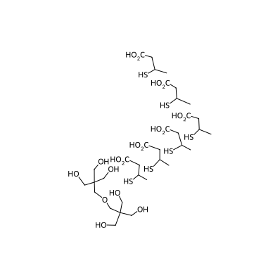 CC(S)CC(=O)O.CC(S)CC(=O)O.CC(S)CC(=O)O.CC(S)CC(=O)O.CC(S)CC(=O)O.CC(S)CC(=O)O.OCC(CO)(CO)COCC(CO)(CO)CO